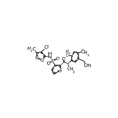 Cc1cc(C)c(C(C)C(=O)c2sccc2S(=O)(=O)Nc2onc(C)c2Cl)cc1CO